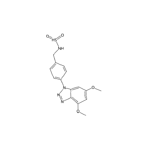 COc1cc(OC)c2nnn(-c3ccc(CN[SH](=O)=O)cc3)c2c1